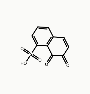 O=C1C=Cc2cccc(S(=O)(=O)O)c2C1=O